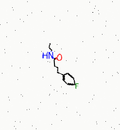 CCCNC(=O)CCCc1ccc(F)cc1